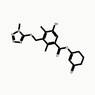 Cc1c(S)cc(C(=O)OC2=CC(=O)CCC2)c(C)c1CSc1nnnn1C